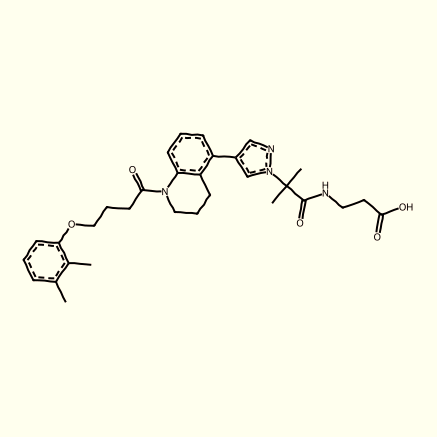 Cc1cccc(OCCCC(=O)N2CCCc3c(-c4cnn(C(C)(C)C(=O)NCCC(=O)O)c4)cccc32)c1C